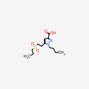 CCCCn1nc(C(=O)O)cc1CCS(=O)(=O)CCC